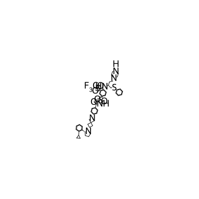 O=C(NS(=O)(=O)c1ccc(NC(CCN2CCNCC2)CSc2ccccc2)c(S(=O)(=O)C(F)(F)F)c1)c1ccc(N2CC3(CC(N4CCC[C@H]4c4ccccc4C4CC4)C3)C2)cc1